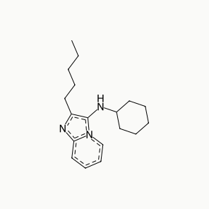 CCCCCc1nc2ccccn2c1NC1CCCCC1